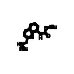 CCCCNCc1ccc2cccc(NC(=O)OC(C)(C)C)c2n1